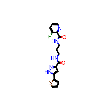 O=C(NCCCNC(=O)c1ncccc1F)c1cc(-c2cccs2)[nH]n1